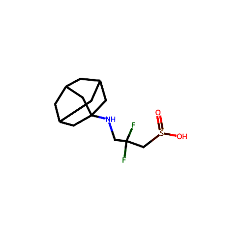 O=S(O)CC(F)(F)CNC12CC3CC(CC(C3)C1)C2